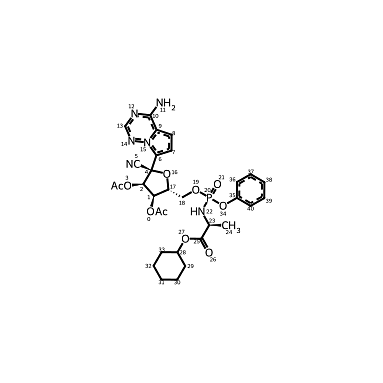 CC(=O)O[C@H]1[C@@H](OC(C)=O)[C@](C#N)(c2ccc3c(N)ncnn23)O[C@@H]1COP(=O)(N[C@@H](C)C(=O)OC1CCCCC1)Oc1ccccc1